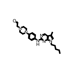 CCCCCn1cc(C)c2cnc(Nc3ccc(N4CCN(CC=O)CC4)cc3)nc21